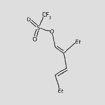 CCC=CC(=COS(=O)(=O)C(F)(F)F)CC